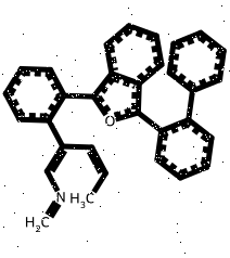 C=N/C=C(\C=C/C)c1ccccc1-c1oc(-c2ccccc2-c2ccccc2)c2ccccc12